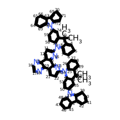 CC1(C)c2ccccc2N(c2ccc3c4nccnc4c4ccc(N5c6ccccc6C(C)(C)C6C=C(n7c8ccccc8c8ccccc87)C=CC65)nc4c3n2)c2ccc(-n3c4ccccc4c4ccccc43)cc21